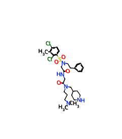 Cc1c(Cl)ccc(S(=O)(=O)N(CCc2ccccc2)CC(=O)NCC(=O)N(CCCN(C)C)CC2CCNCC2)c1Cl